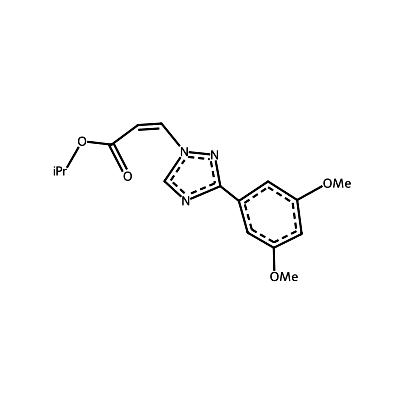 COc1cc(OC)cc(-c2ncn(/C=C\C(=O)OC(C)C)n2)c1